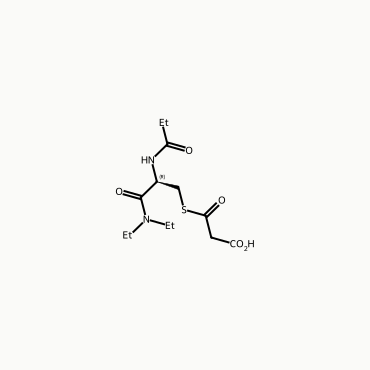 CCC(=O)N[C@@H](CSC(=O)CC(=O)O)C(=O)N(CC)CC